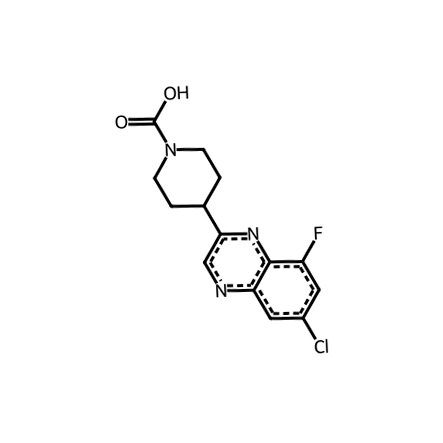 O=C(O)N1CCC(c2cnc3cc(Cl)cc(F)c3n2)CC1